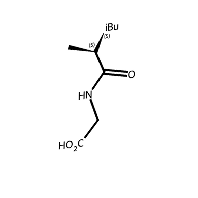 CC[C@H](C)[C@H](C)C(=O)NCC(=O)O